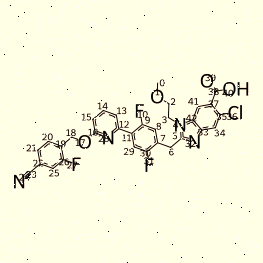 COCCn1c(Cc2cc(F)c(-c3cccc(OCc4ccc(C#N)cc4F)n3)cc2F)nc2cc(Cl)c(C(=O)O)cc21